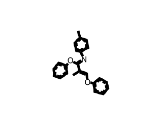 C/C(=C\Oc1ccccc1)C(=Nc1ccc(C)cc1)Oc1ccccc1